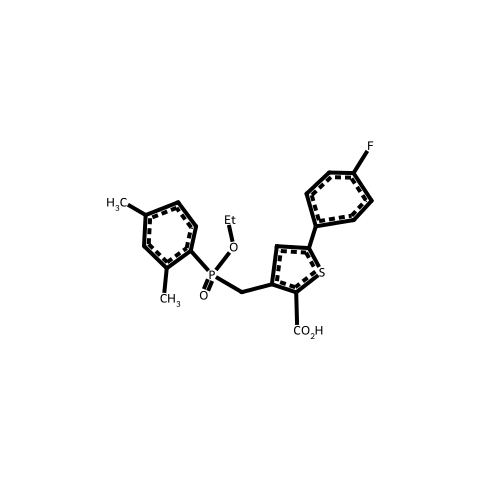 CCOP(=O)(Cc1cc(-c2ccc(F)cc2)sc1C(=O)O)c1ccc(C)cc1C